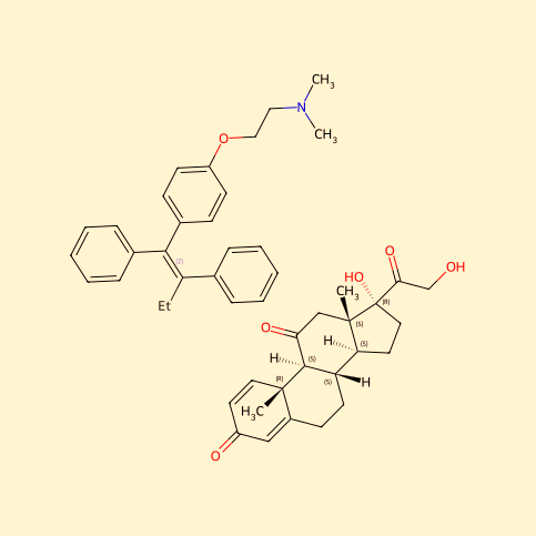 CC/C(=C(\c1ccccc1)c1ccc(OCCN(C)C)cc1)c1ccccc1.C[C@]12C=CC(=O)C=C1CC[C@@H]1[C@@H]2C(=O)C[C@@]2(C)[C@H]1CC[C@]2(O)C(=O)CO